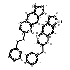 c1ccc(CCc2cnc3cc4[nH]ncc4cc3n2)cc1.c1ccc(Cc2cnc3cc4cn[nH]c4cc3n2)cc1